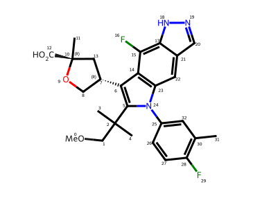 COCC(C)(C)c1c([C@@H]2CO[C@@](C)(C(=O)O)C2)c2c(F)c3[nH]ncc3cc2n1-c1ccc(F)c(C)c1